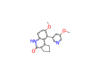 COc1cncc(-c2c(OC)ccc3[nH]c(=O)c4c(c23)CCC4)c1